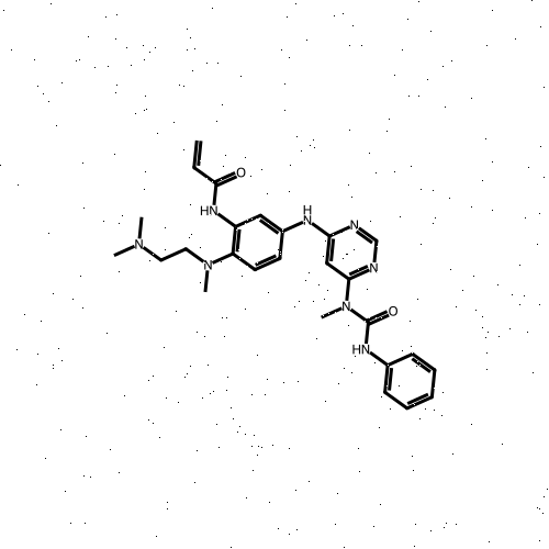 C=CC(=O)Nc1cc(Nc2cc(N(C)C(=O)Nc3ccccc3)ncn2)ccc1N(C)CCN(C)C